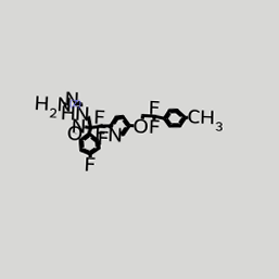 Cc1ccc(C(F)(F)COc2ccc(C(F)(F)C(CN/C=N\N)(N=O)c3ccc(F)cc3F)nc2)cc1